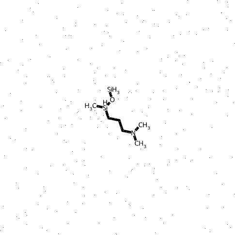 CN(C)CCC[SiH](C)O[SiH3]